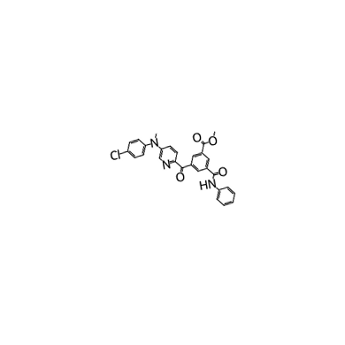 COC(=O)c1cc(C(=O)Nc2ccccc2)cc(C(=O)c2ccc(N(C)c3ccc(Cl)cc3)cn2)c1